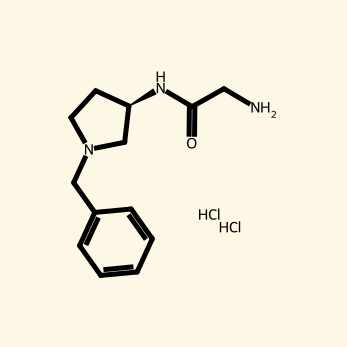 Cl.Cl.NCC(=O)N[C@@H]1CCN(Cc2ccccc2)C1